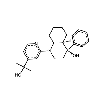 CC(C)(O)c1ccnc(N2CC[C@@](O)(c3ccccc3)[C@@H]3CCCCC32)c1